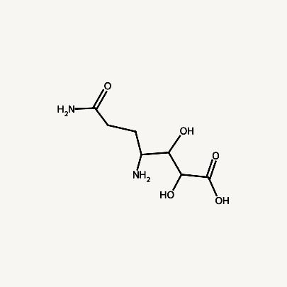 NC(=O)CCC(N)C(O)C(O)C(=O)O